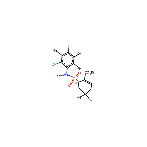 [2H]c1c([2H])c(N([2H])S(=O)(=O)[C@@H]2CC([2H])([2H])CC=C2C(=O)OCC)c(Cl)c([2H])c1F